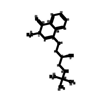 Cn1cc(OC[C@@H](O)CNC(C)(C)C)c2ccccc2c1=O